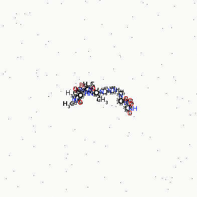 CCOc1cc(N2CCC(N3CCN(C[C@@H]4CCN(c5cccc6c5oc(=O)n6C5CCC(=O)NC5=O)C4)CC3)CC2)c(CC)cc1Nc1ncc(Br)c(Nc2ccc3c(=O)n(CC)ncc3c2P(C)(C)=O)n1